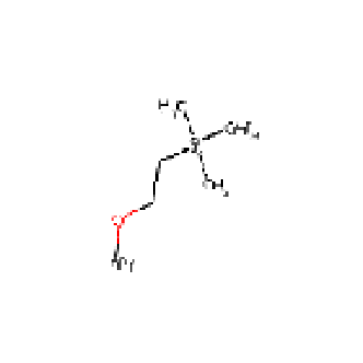 CCCOCC[Si](C)(C)C